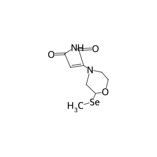 C[Se]C1CN(C2=CC(=O)NC2=O)CCO1